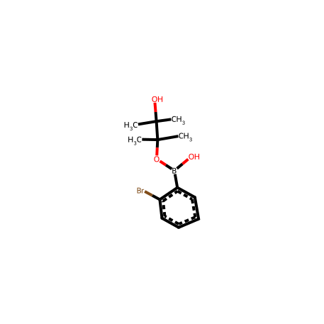 CC(C)(O)C(C)(C)OB(O)c1ccccc1Br